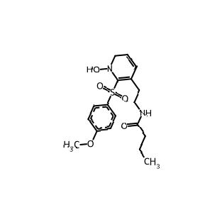 CCCC(=O)NCCC1=C(S(=O)(=O)c2ccc(OC)cc2)N(O)CC=C1